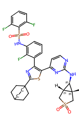 O=S1(=O)C[C@@H]2[C@H](C1)[C@H]2Nc1nccc(-c2sc(C34CCC(CC3)CC4)nc2-c2cccc(NS(=O)(=O)c3c(F)cccc3F)c2F)n1